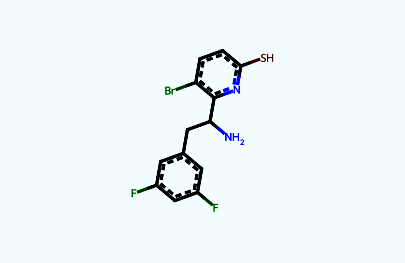 NC(Cc1cc(F)cc(F)c1)c1nc(S)ccc1Br